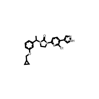 CCc1nc(N2CCN(C(C)c3cccc(OCC4CC4)c3)C2=O)ccc1-c1cn[nH]c1